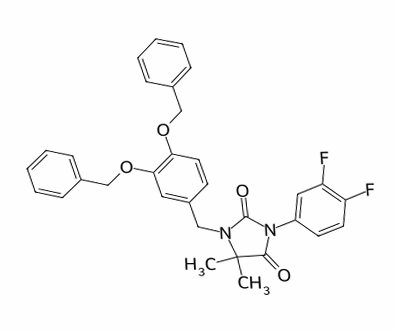 CC1(C)C(=O)N(c2ccc(F)c(F)c2)C(=O)N1Cc1ccc(OCc2ccccc2)c(OCc2ccccc2)c1